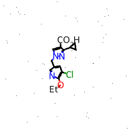 CCOc1ncc(Cn2cc(C(=O)O)c(C3CC3)n2)cc1Cl